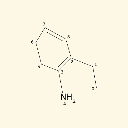 CCC1=C(N)CCC=C1